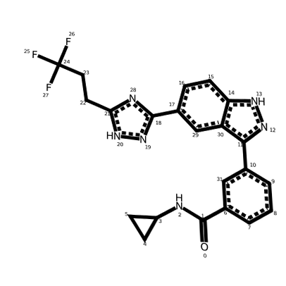 O=C(NC1CC1)c1cccc(-c2n[nH]c3ccc(-c4n[nH]c(CCC(F)(F)F)n4)cc23)c1